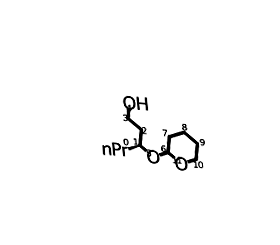 CCC[C@@H](CCO)OC1CCCCO1